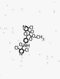 CCOC(=O)C(Cc1ccc(NC(=O)c2c(Cl)cncc2Cl)cc1)C(=O)c1c(Cl)cncc1Cl